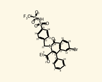 CCC(=O)c1c(-c2ccccc2)c2cc(Br)ccc2c(=O)n1Cc1ccc(S(=O)(=O)NS(=O)(=O)C(F)(F)F)cc1